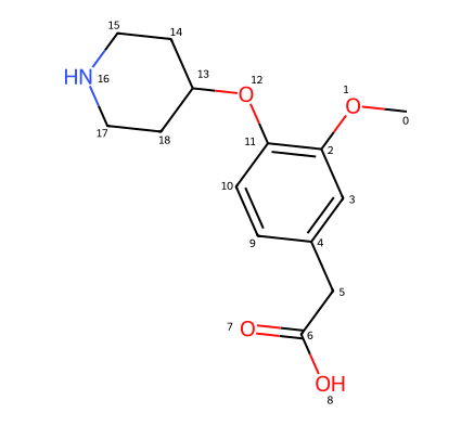 COc1cc(CC(=O)O)ccc1OC1CCNCC1